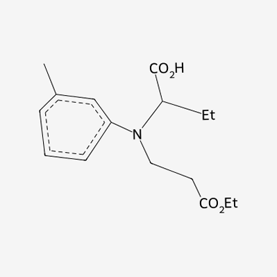 CCOC(=O)CCN(c1cccc(C)c1)C(CC)C(=O)O